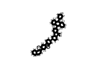 CC1(C)c2ccc(-c3ccc4c(c3)oc3cc5c(cc34)oc3c4ccccc4ccc53)cc2-c2ccc(-c3c4ccccc4c(-c4ccccc4)c4ccccc34)cc21